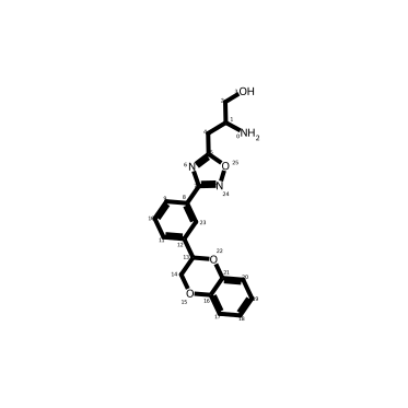 NC(CO)Cc1nc(-c2cccc(C3COc4ccccc4O3)c2)no1